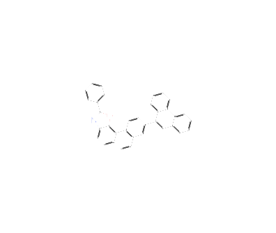 c1ccc(C2Nc3ccc4ccc5cc(-c6cc7ccccc7c7ccccc67)ccc5c4c3O2)cc1